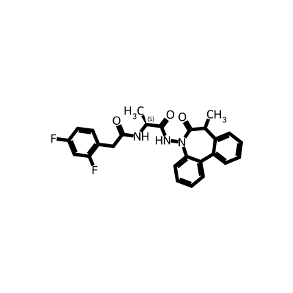 CC1C(=O)N(NC(=O)[C@H](C)NC(=O)Cc2ccc(F)cc2F)c2ccccc2-c2ccccc21